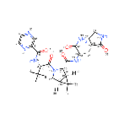 CC(C)(C)[C@H](NC(=O)c1cnccn1)C(=O)N1C[C@H]2[C@@H]([C@H]1C(=O)N[C@@H](C[C@@H]1CCNC1=O)C(N)=O)C2(C)C